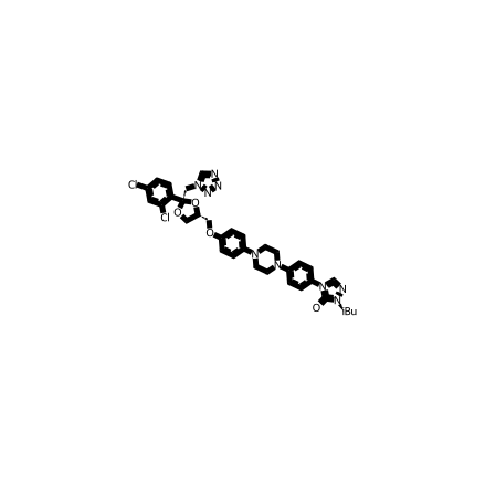 CC[C@H](C)n1ncn(-c2ccc(N3CCN(c4ccc(OC[C@@H]5CO[C@@](Cn6cnnn6)(c6ccc(Cl)cc6Cl)O5)cc4)CC3)cc2)c1=O